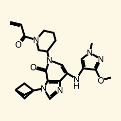 C=CC(=O)N1CCCC(n2cc(Nc3cn(C)nc3OC)c3ncn(C45CC(C4)C5)c3c2=O)C1